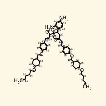 C=CCCCOC1CCC(COc2ccc(/C=C/C(=O)CC(c3ccc(N)cc3N)C(O)(O)C(=O)/C=C/c3ccc(OCC4CCC(OCCCC=C)CC4)cc3)cc2)CC1